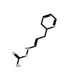 O=C(O)ONC=CCC1CC=CC=N1